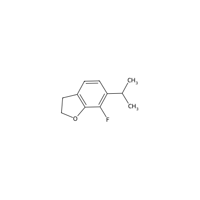 CC(C)c1ccc2c(c1F)OCC2